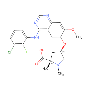 COc1cc2ncnc(Nc3cccc(Cl)c3F)c2cc1O[C@H]1CN(C)[C@](C)(C(=O)O)C1